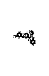 O=c1c2c(n3nccc3n1Cc1ccccc1)CCN(Cc1cccc(Cl)c1)C2